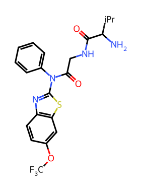 CC(C)C(N)C(=O)NCC(=O)N(c1ccccc1)c1nc2ccc(OC(F)(F)F)cc2s1